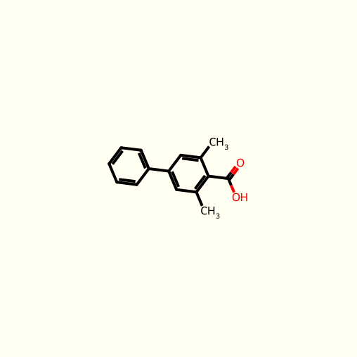 Cc1cc(-c2ccccc2)cc(C)c1C(=O)O